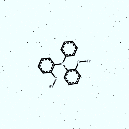 CC(C)Oc1ccccc1P(c1ccccc1)c1ccccc1OC(C)C